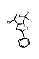 O=C(Cl)c1nc(-c2ccccc2)oc1C(F)(F)F